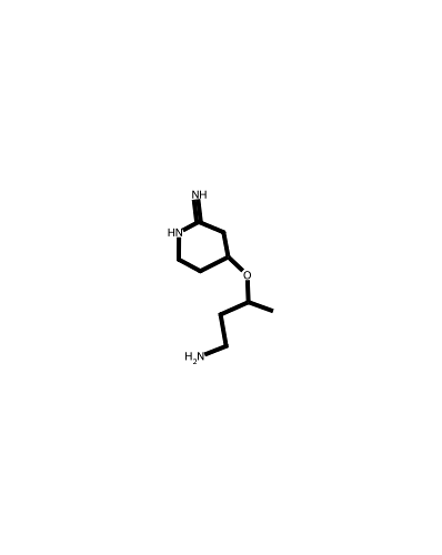 CC(CCN)OC1CCNC(=N)C1